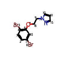 Brc1ccc(Br)c(OCCn2cccn2)c1